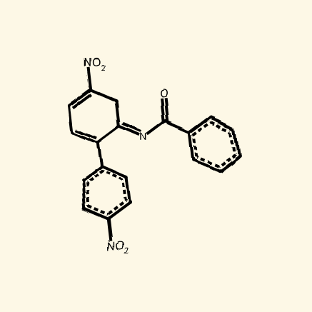 O=C(N=C1CC([N+](=O)[O-])=CC=C1c1ccc([N+](=O)[O-])cc1)c1ccccc1